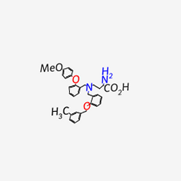 COc1ccc(Oc2ccccc2CN(CCC(N)C(=O)O)Cc2ccccc2OCc2cccc(C)c2)cc1